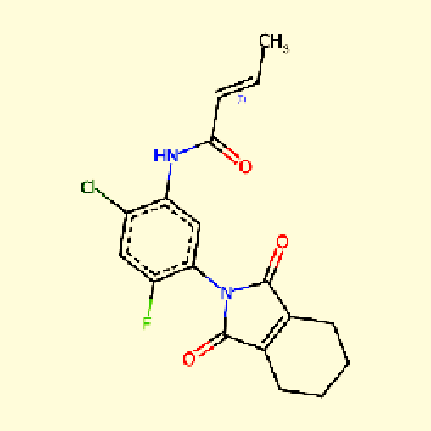 C/C=C/C(=O)Nc1cc(N2C(=O)C3=C(CCCC3)C2=O)c(F)cc1Cl